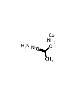 CC(=O)O.N.N.N.[Cu]